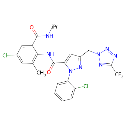 Cc1cc(Cl)cc(C(=O)NC(C)C)c1NC(=O)c1cc(Cn2nnc(C(F)(F)F)n2)nn1-c1ccccc1Cl